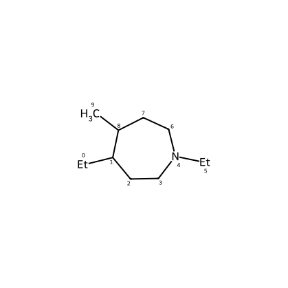 CCC1CCN(CC)CCC1C